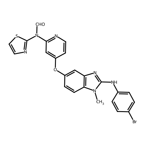 Cn1c(Nc2ccc(Br)cc2)nc2cc(Oc3ccnc(N(C=O)c4nccs4)c3)ccc21